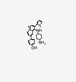 NC1CCC(Nc2c(-c3cccs3)cnc3ccc(-c4ccc(O)cc4)cc23)CC1